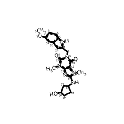 COc1ccc2[nH]c(Cn3c(=O)c4c(nc(NC5CCC(O)C5)n4C)n(C)c3=O)cc2c1